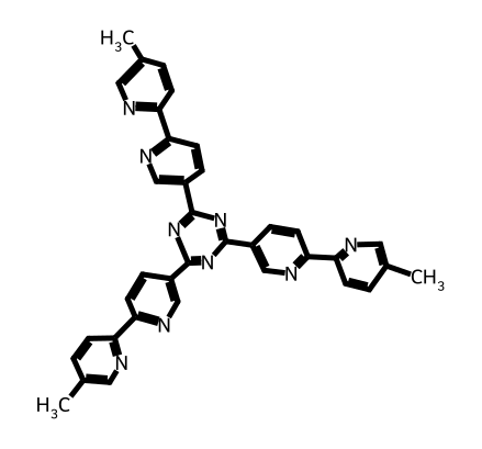 Cc1ccc(-c2ccc(-c3nc(-c4ccc(-c5ccc(C)cn5)nc4)nc(-c4ccc(-c5ccc(C)cn5)nc4)n3)cn2)nc1